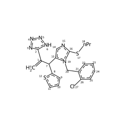 C=C(c1nnn[nH]1)C(c1cccs1)c1cnc(SCCC)n1Cc1ccccc1Cl